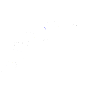 O=C(O)Cn1c(-c2ccc(C(=O)O)s2)ccc1-c1ccc(-c2ccc(-c3ccc(C(=O)O)s3)n2CC(=O)O)s1